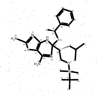 CC(C)C[C@H](CO[Si](C)(C)C(C)(C)C)C1(S[C@@H](C)c2ccccc2)N=C(N)c2sc(N)nc2N1